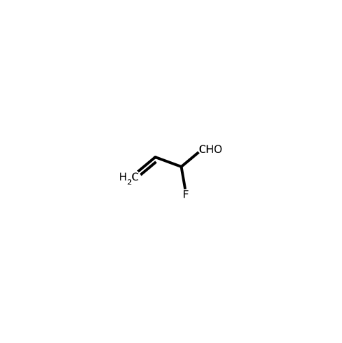 C=CC(F)C=O